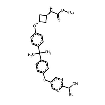 CCC(O)c1ncc(Oc2ccc(C(C)(C)c3ccc(O[C@H]4C[C@H](NC(=O)OC(C)(C)C)C4)cc3)cc2)cn1